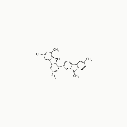 Cc1cc(C)c2[nH]c3c(-c4ccc5c6cc(C)ccc6n(C)c5c4)cc(C)cc3c2c1